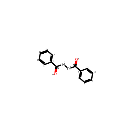 O=C([Te][Te]C(=O)c1ccccc1)c1ccccc1